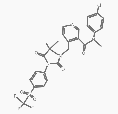 CN(C(=O)c1cnccc1CN1C(=O)N(c2ccc(S(=O)(=O)C(F)(F)F)cc2)C(=O)C1(C)C)c1ccc(Cl)cc1